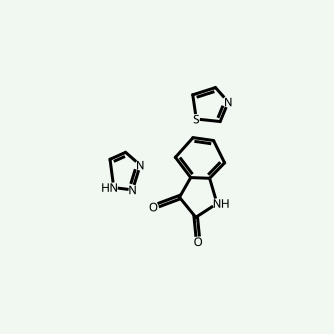 O=C1Nc2ccccc2C1=O.c1c[nH]nn1.c1cscn1